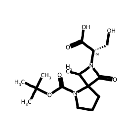 CC1N([C@@H](CO)C(=O)O)C(=O)C12CCCN2C(=O)OC(C)(C)C